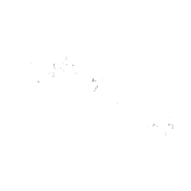 O=C(O)CCC(NC(=O)N[C@@H](CCCCNC(=O)CCCCCCCCCCN1CCNCC1)C(=O)O)C(=O)O